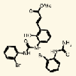 COC(=O)C=Cc1cccc(NC(=O)Nc2ccccc2Br)c1O.NC(=O)Nc1ccccc1Br